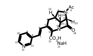 CC(=O)N1C[C@H]2CC(/C=C/c3cccnc3)=C(C(=O)O)N3C(=O)[C@@H]1[C@@H]23.[NaH]